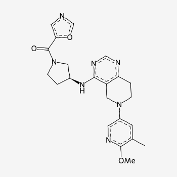 COc1ncc(N2CCc3ncnc(N[C@H]4CCN(C(=O)c5cnco5)C4)c3C2)cc1C